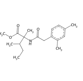 CCC(C)C(C)(NC(=O)Cc1ccc(C)cc1C)C(=O)OC